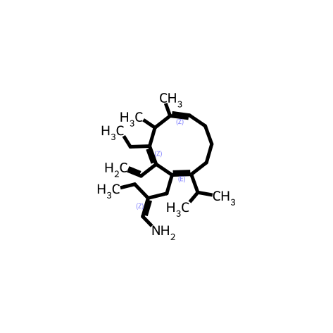 C=CC1=C(\CC)C(C)/C(C)=C\CCC/C(C(C)C)=C\1C/C(=C\N)CC